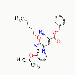 CCCCCOc1nc2c(OC(C)C)cccn2c1C=C(C#N)C(=O)OCc1ccccc1